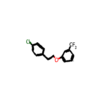 FC(F)(F)c1c[c]cc(OCCc2ccc(Cl)cc2)c1